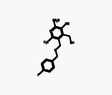 Cc1nc(C(=O)O)c(O)c(CO)c1COCc1ccc(F)cc1